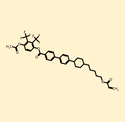 C=CC(=O)OCCCCCC1CCC(c2ccc(-c3ccc(C(=O)Oc4ccc(OC(C)=O)c(C(F)(F)F)c4C(F)(F)F)cc3)cc2)CC1